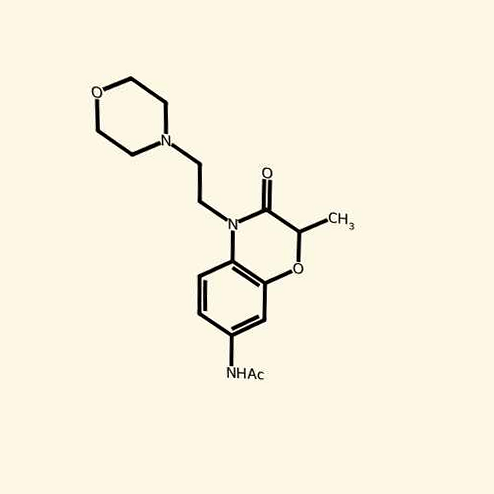 CC(=O)Nc1ccc2c(c1)OC(C)C(=O)N2CCN1CCOCC1